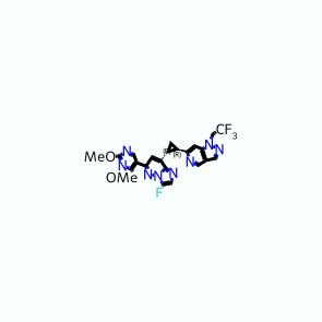 COc1ncc(-c2cc([C@@H]3C[C@H]3c3cc4c(cn3)cnn4CC(F)(F)F)c3ncc(F)n3n2)c(OC)n1